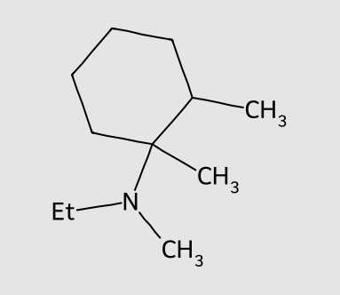 CCN(C)C1(C)CCCCC1C